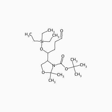 CC[Si](CC)(CC)OC(CCC=O)C1COC(C)(C)N1C(=O)OC(C)(C)C